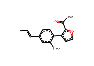 CC=Cc1ccc(-c2ccoc2C(=O)OC)c(OC)c1